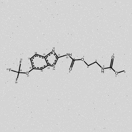 COC(=O)NCCOC(=O)Nc1nc2ccc(OC(F)(F)F)cc2s1